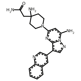 NC(=O)CC1(N)CCN(c2cc(N)n3ncc(-c4cnc5ccccc5c4)c3n2)CC1